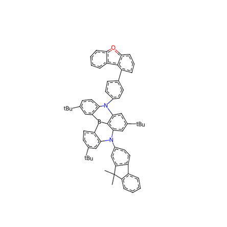 CC(C)(C)c1ccc2c(c1)B1c3ccc(C(C)(C)C)cc3N(c3ccc4c(c3)C(C)(C)c3ccccc3-4)c3cc(C(C)(C)C)cc(c31)N2c1ccc(-c2cccc3oc4ccccc4c23)cc1